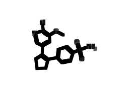 COc1cc(C2=C(c3ccc(S(N)(=O)=O)cc3)CCC2)cnc1Cl